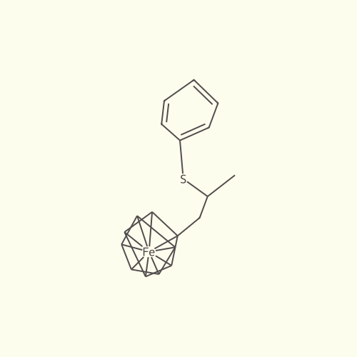 CC(C[C]12[CH]3[CH]4[CH]5[CH]1[Fe]45321678[CH]2[CH]1[CH]6[CH]7[CH]28)Sc1ccccc1